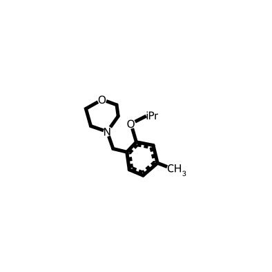 Cc1ccc(CN2CCOCC2)c(OC(C)C)c1